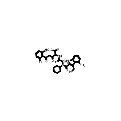 Cc1cccc2[nH]c(C(=O)N(C3CCCCC3)[C@@H](C)C(=O)NC(C(=O)CC(=O)c3c(Cl)cccc3Cl)C(=O)C(=O)O)c(CC(C)C)c12